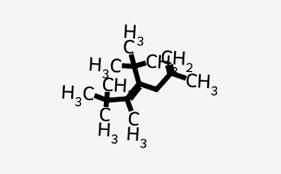 C=C(C)C/C(=C(\C)C(C)(C)C)C(C)(C)C